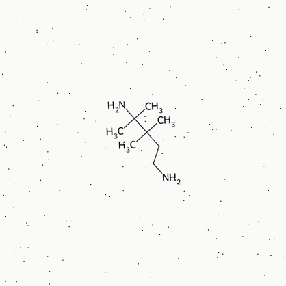 CC(C)(N)C(C)(C)CCN